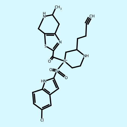 C#CCCC1C[N+](C(=O)c2nc3c(s2)CNC(C)C3)(S(=O)(=O)c2cc3cc(Cl)ccc3[nH]2)CCN1